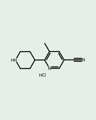 Cc1cc(C#N)cnc1C1CCNCC1.Cl